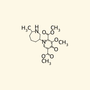 COC(=O)c1cn(C2CCCC(C)NC2)c(C(=O)OC)c(OC)c1=O